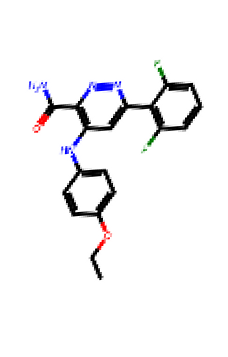 CCOc1ccc(Nc2cc(-c3c(F)cccc3F)nnc2C(N)=O)cc1